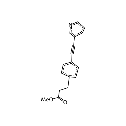 COC(=O)CCc1ccc(C#Cc2cccnc2)cc1